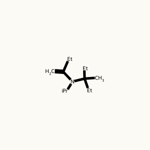 C=C(CC)N(C(C)C)C(C)(CC)CC